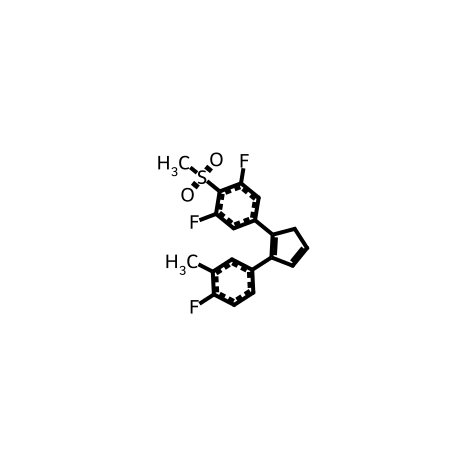 Cc1cc(C2=C(c3cc(F)c(S(C)(=O)=O)c(F)c3)CC=C2)ccc1F